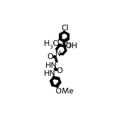 COc1ccc(NC(=O)NCC(=O)N2CCC(O)(C3=CC[C@@H](Cl)C=C3)C(C)(C)C2)cc1